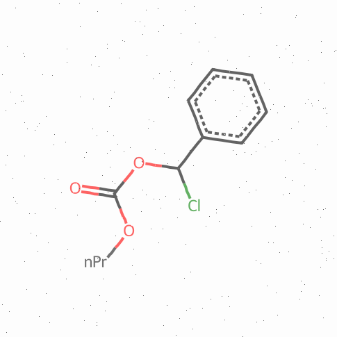 CCCOC(=O)OC(Cl)c1ccccc1